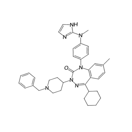 Cc1ccc2c(c1)N(c1ccc(N(C)c3ncc[nH]3)cc1)C(=O)N(C1CCN(Cc3ccccc3)CC1)N=C2C1CCCCC1